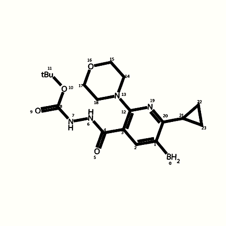 Bc1cc(C(=O)NNC(=O)OC(C)(C)C)c(N2CCOCC2)nc1C1CC1